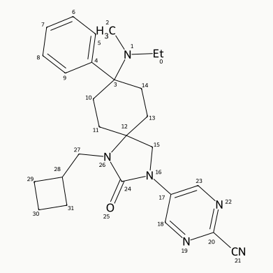 CCN(C)C1(c2ccccc2)CCC2(CC1)CN(c1cnc(C#N)nc1)C(=O)N2CC1CCC1